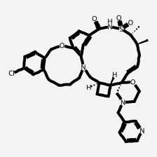 C[C@@H]1[C@@H](C)C/C=C/[C@]2(CN(Cc3cccnc3)CCO2)[C@@H]2CC[C@H]2CN2CCCCc3cc(Cl)ccc3COc3ccc(cc32)C(=O)NS1(=O)=O